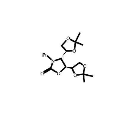 CC(C)N1C(=O)O[C@H](C2COC(C)(C)O2)[C@H]1C1COC(C)(C)O1